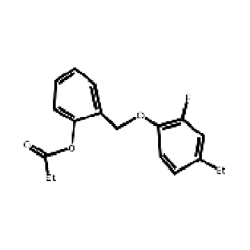 CCC(=O)Oc1ccccc1COc1ccc(CC)cc1F